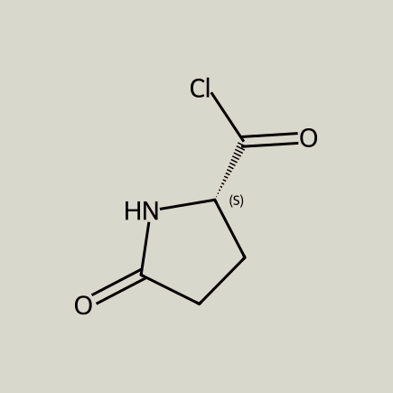 O=C1CC[C@@H](C(=O)Cl)N1